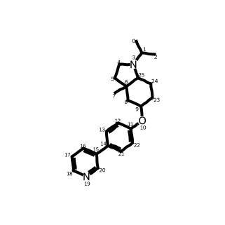 CC(C)N1CCC2(C)CC(Oc3ccc(-c4cccnc4)cc3)CCC12